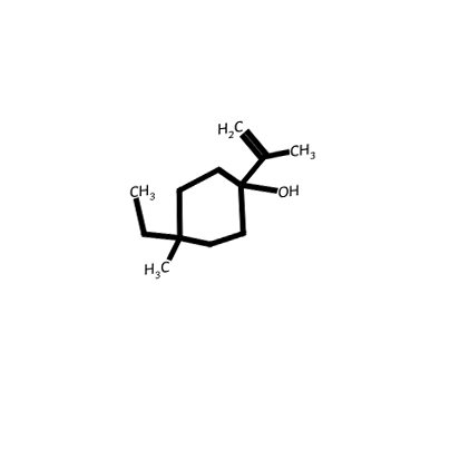 C=C(C)C1(O)CCC(C)(CC)CC1